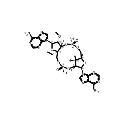 CC[C@@]12CO[P@@](=O)(S)O[C@@H]3[C@H](F)[C@@H](CO[P@@](=O)(S)O[C@H]1[C@@H](OC)[C@H](n1cnc4c(N)ncnc41)O2)O[C@H]3n1cnc2c(N)ncnc21